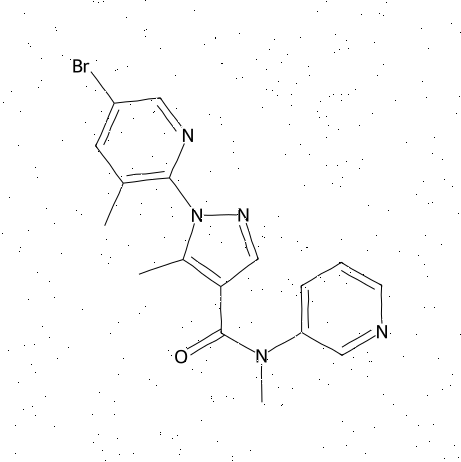 Cc1cc(Br)cnc1-n1ncc(C(=O)N(C)c2cccnc2)c1C